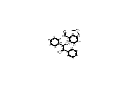 COC.O=C(c1ccccc1)C(O)c1ccccc1.O=Cc1ccccc1